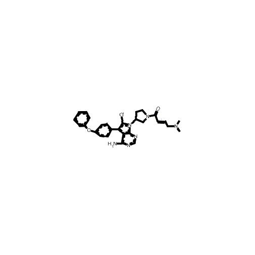 CN(C)C/C=C/C(=O)N1CCC(n2c(Cl)c(-c3ccc(Oc4ccccc4)cc3)c3c(N)ncnc32)C1